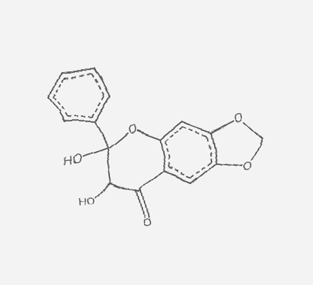 O=C1c2cc3c(cc2OC(O)(c2ccccc2)C1O)OCO3